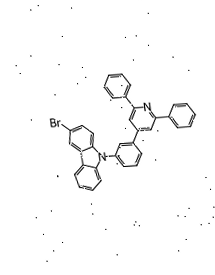 Brc1ccc2c(c1)c1ccccc1n2-c1cccc(-c2cc(-c3ccccc3)nc(-c3ccccc3)c2)c1